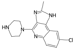 Cc1nc2c(N3CCNCC3)nc3ccc(Cl)cc3c2[nH]1